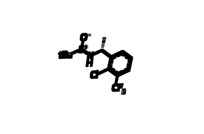 C[C@@H](N[S+]([O-])C(C)(C)C)c1cccc(C(F)(F)F)c1Cl